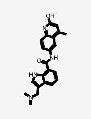 Cc1cc(O)nc2ccc(NC(=O)c3cccc4c(CN(C)C)c[nH]c34)cc12